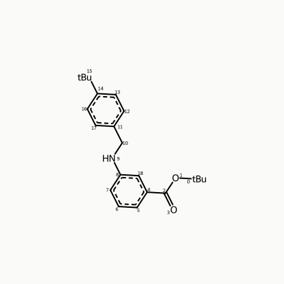 CC(C)(C)OC(=O)c1cccc(NCc2ccc(C(C)(C)C)cc2)c1